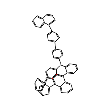 c1ccc(-c2ccc(N(c3ccc(-c4ccc(-c5cccc6ccccc56)cc4)cc3)c3ccccc3-c3cc4oc5ccccc5c4c4ccccc34)cc2)cc1